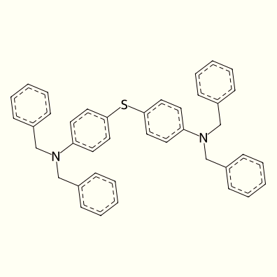 c1ccc(CN(Cc2ccccc2)c2ccc(Sc3ccc(N(Cc4ccccc4)Cc4ccccc4)cc3)cc2)cc1